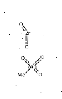 [O]=[Mo](=[O])(=[O])[Mo].[O]=[Zr]=[O]